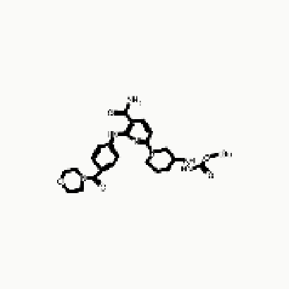 CC(C)(C)OC(=O)NNC1CCCN(c2ccc(C(N)=O)c(Nc3ccc(C(=O)N4CCOCC4)cc3)n2)C1